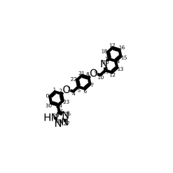 c1cc(OCc2ccc(OCc3ccc4ccccc4n3)cc2)cc(-c2nnn[nH]2)c1